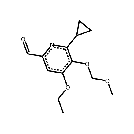 CCOc1cc(C=O)nc(C2CC2)c1OCOC